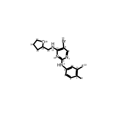 Cc1ccc(Nc2ncc(Br)c(NCC3CCCO3)n2)cc1F